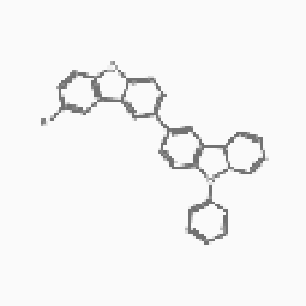 Brc1ccc2oc3ccc(-c4ccc5c(c4)C4C=CC=CC4N5c4ccccc4)cc3c2c1